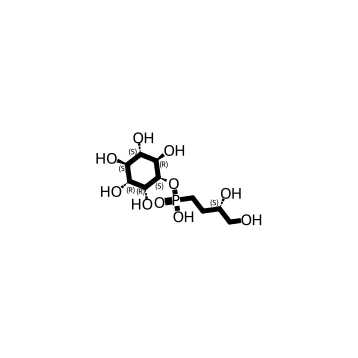 O=P(O)(CC[C@H](O)CO)O[C@@H]1[C@H](O)[C@H](O)[C@@H](O)[C@H](O)[C@H]1O